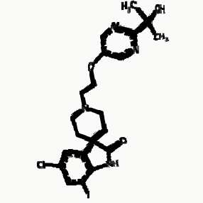 CC(C)(O)c1ncc(OCCN2CCC3(CC2)C(=O)Nc2c(I)cc(Cl)cc23)cn1